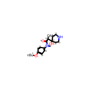 CCCCOc1ccc(N(C)C(=O)C(OC)C2(O)CCNCC2)cc1